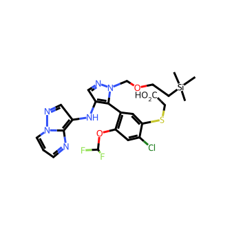 C[Si](C)(C)CCOCn1ncc(Nc2cnn3cccnc23)c1-c1cc(SCC(=O)O)c(Cl)cc1OC(F)F